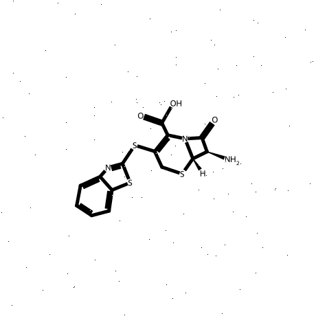 N[C@@H]1C(=O)N2C(C(=O)O)=C(Sc3nc4ccccc4s3)CS[C@@H]12